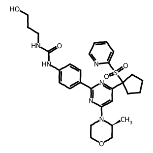 C[C@H]1COCCN1c1cc(C2(S(=O)(=O)c3ccccn3)CCCC2)nc(-c2ccc(NC(=O)NCCCO)cc2)n1